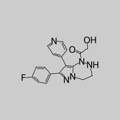 O=C(CO)N1NCCn2nc(-c3ccc(F)cc3)c(-c3ccncc3)c21